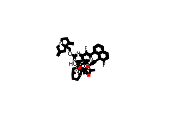 C=C1CN2CCC(=C)C2(COc2nc3c4c(nc(-c5cccc6ccc(F)c(C#C[Si](C(C)C)(C(C)C)C(C)C)c56)c(F)c4n2)OC(C)C2C4CCC(CN32)N4C(=O)O)C1